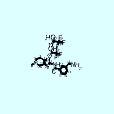 CN1CCc2nc(NC(=O)c3cccc(CN)c3)sc2C1.O=C(O)C(F)(F)F.O=C(O)C(F)(F)F